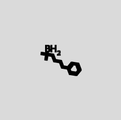 BC(C)(C)CCCCc1ccccc1